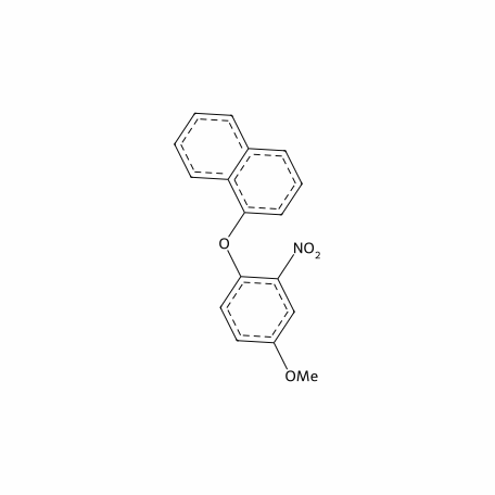 COc1ccc(Oc2cccc3ccccc23)c([N+](=O)[O-])c1